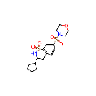 O=S1(=O)NC(C2CCCC2)Cc2ccc(S(=O)(=O)N3CCOCC3)cc21